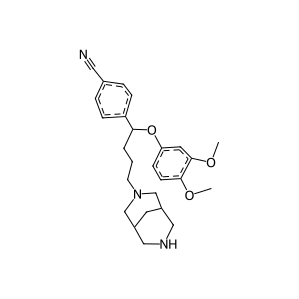 COc1ccc(OC(CCCN2CC3CNCC(C3)C2)c2ccc(C#N)cc2)cc1OC